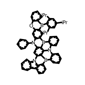 CC(C)c1cc(C(C)C)c(B2c3ccccc3Oc3cc4c(cc32)B2c3ccccc3N3c5ccccc5B5c6c(cc(c2c63)N4c2ccccc2)-n2c3ccccc3c3cccc5c32)c(C(C)C)c1